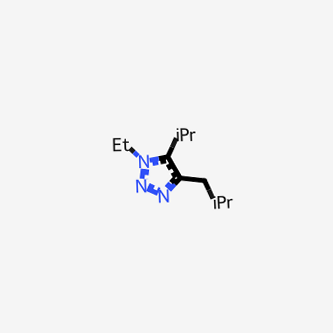 CCn1nnc(CC(C)C)c1C(C)C